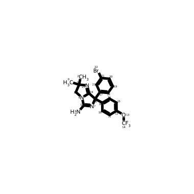 CC1(C)CN2C(N)=NC(c3ccc(OC(F)(F)F)cc3)(c3cccc(Br)c3)C2=N1